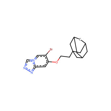 Brc1cn2cnnc2cc1OCCC12CC3CC(CC(C3)C1)C2